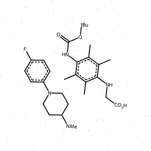 CNC1CCN(c2ccc(F)cc2)CC1.Cc1c(C)c(NC(=O)OC(C)(C)C)c(C)c(C)c1NCC(=O)O